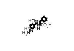 Cl.Nc1nc2cc(C(=O)NC(CC3CCCCC3)C(=O)O)ccc2[nH]1